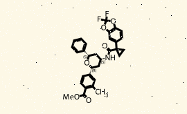 COC(=O)c1ccc([C@H]2C[C@@H](NC(=O)C3(c4ccc5c(c4)OC(F)(F)O5)CC3)C[C@@H](c3ccccc3)O2)cc1C